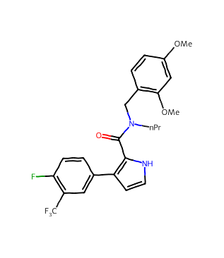 CCCN(Cc1ccc(OC)cc1OC)C(=O)c1[nH]ccc1-c1ccc(F)c(C(F)(F)F)c1